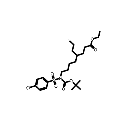 CCOC(=O)CCC(CCI)CCCCN(C(=O)OC(C)(C)C)S(=O)(=O)c1ccc(Cl)cc1